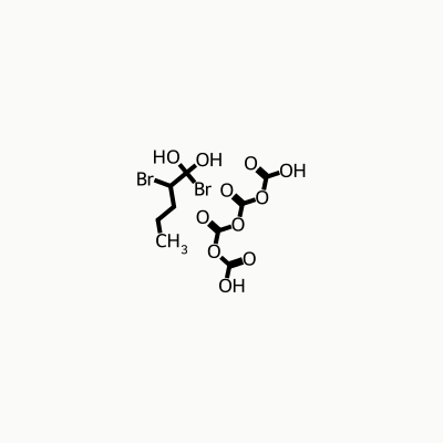 CCCC(Br)C(O)(O)Br.O=C(O)OC(=O)OC(=O)OC(=O)O